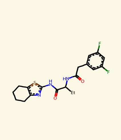 CCC(NC(=O)Cc1cc(F)cc(F)c1)C(=O)Nc1nc2c(s1)CCCC2